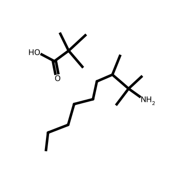 CC(C)(C)C(=O)O.CCCCCCC(C)C(C)(C)N